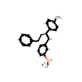 Cc1ccc([C@H](CCc2ccccc2)Cc2cccc(OC(F)(F)F)c2)cc1